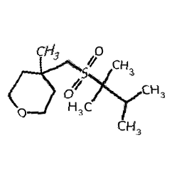 CC(C)C(C)(C)S(=O)(=O)CC1(C)CCOCC1